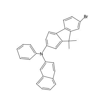 CC1(C)c2cc(Br)ccc2-c2ccc(N(c3ccccc3)c3ccc4ccccc4c3)cc21